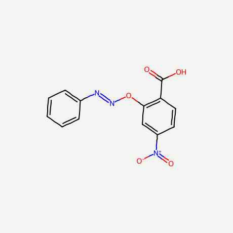 O=C(O)c1ccc([N+](=O)[O-])cc1ON=Nc1ccccc1